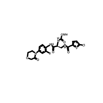 COC(=O)N[C@@H](CNC(=O)c1ccc(Cl)s1)C(=O)Nc1ccc(N2CCOCC2=O)cc1F